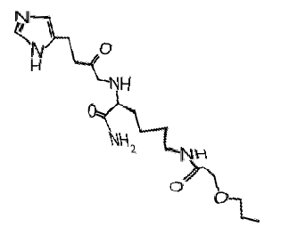 CCCOCC(=O)NCCCC[C@H](NCC(=O)CCc1cnc[nH]1)C(N)=O